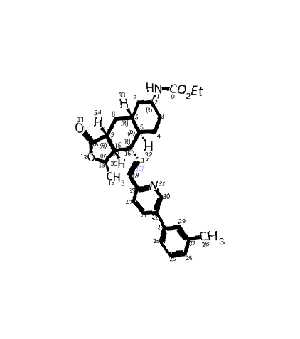 CCOC(=O)N[C@@H]1CC[C@@H]2[C@@H](C1)C[C@H]1C(=O)O[C@H](C)[C@H]1[C@H]2/C=C/c1ccc(-c2cccc(C)c2)cn1